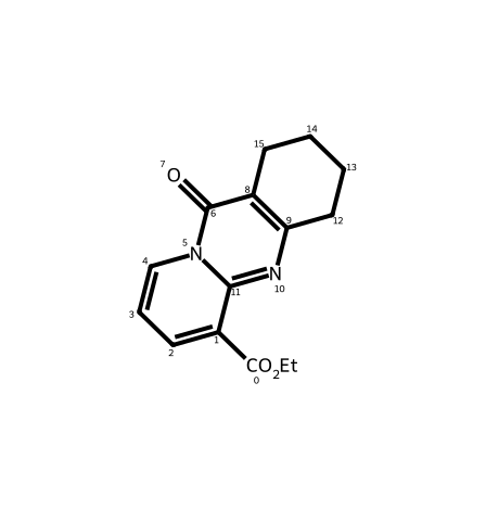 CCOC(=O)c1cccn2c(=O)c3c(nc12)CCCC3